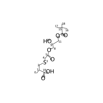 CC(CSCC(=O)OCC(O)COC(=O)C(C)(C)C)C(=O)O